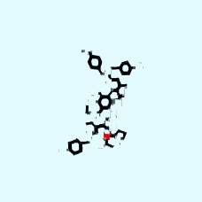 COc1ccc(CNc2nnccc2C(C)N2CCOc3c(Cl)c(-c4nc(N(Cc5ccc(OC)cc5)Cc5ccc(OC)cc5)cc(C)c4C(F)(F)F)c(F)c4nc(OC[C@@]56CCCN5C[C@H](F)C6)nc2c34)cc1